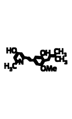 COc1cc(/C=C/c2cc(O)cc(C)n2)cc(O)c1CC=C(C)C